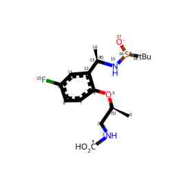 C[C@@H](CNC(=O)O)Oc1ccc(F)cc1[C@@H](C)N[S+]([O-])C(C)(C)C